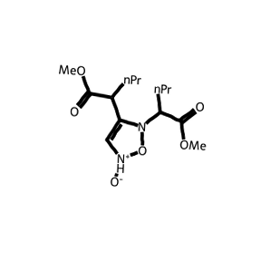 CCCC(C(=O)OC)C1=C[NH+]([O-])ON1C(CCC)C(=O)OC